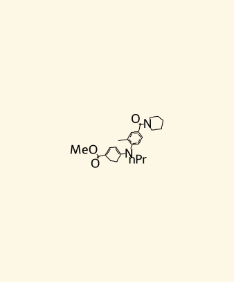 CCCN(C1=CC=C(C(=O)OC)CC1)c1ccc(C(=O)N2CCCCC2)cc1C